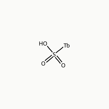 O=[S](=O)(O)[Tb]